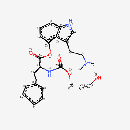 CN(C)CCc1c[nH]c2cccc(OC(=O)C(Cc3ccccc3)NC(=O)OC(C)(C)C)c12.O=CO